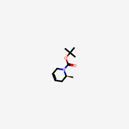 C[C@H]1CC=CCN1C(=O)OC(C)(C)C